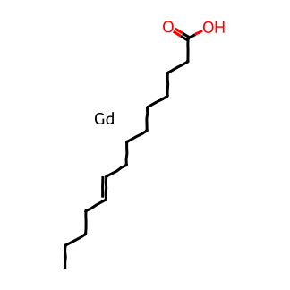 CCCCC=CCCCCCCCC(=O)O.[Gd]